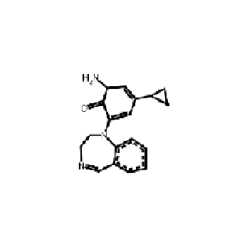 NC1C=C(C2CC2)C=C(N2CCN=Cc3ccccc32)C1=O